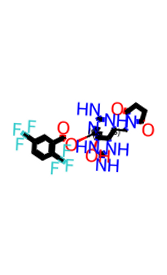 N=C1NC2[C@H](CN3C(=O)CCC3=O)NC(=N)N3C[C@H](OC(=O)c4cc(C(F)(F)F)ccc4C(F)(F)F)[C@@H](O)C23N1